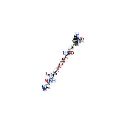 CC1(CCC(=O)NCCN(CCI)CCCOCCOCCOCCCNC(=O)CCCC[C@@H]2SC[C@@H]3NC(=O)N[C@@H]32)N=N1